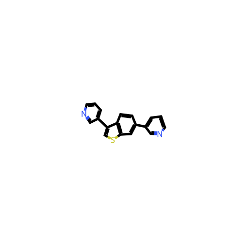 c1cncc(-c2ccc3c(-c4cccnc4)csc3c2)c1